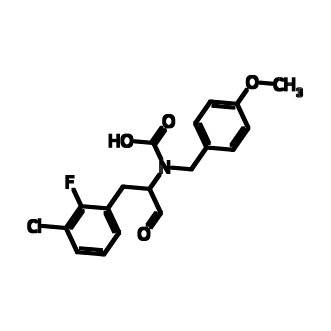 COc1ccc(CN(C(=O)O)C(C=O)Cc2cccc(Cl)c2F)cc1